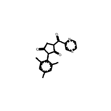 Cc1cc(C)c(C2C(=O)CC(C(=O)c3cnccn3)C2=O)c(C)c1